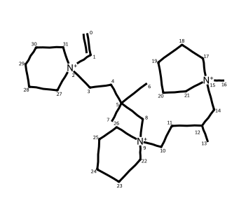 C=C[N+]1(CCC(C)(C)C[N+]2(CCC(C)C[N+]3(C)CCCCC3)CCCCC2)CCCCC1